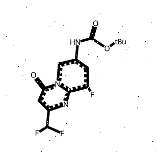 CC(C)(C)OC(=O)Nc1cc(F)c2nc(C(F)F)cc(=O)n2c1